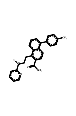 NC(=O)c1ccc2c(-c3ccc(C(F)(F)F)cc3)cccc2c1CC[C@H](O)c1ccccn1